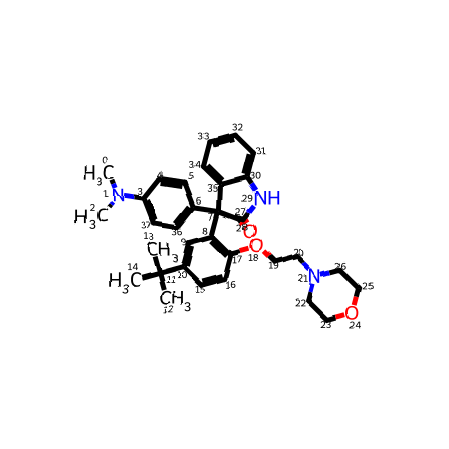 CN(C)c1ccc(C2(c3cc(C(C)(C)C)ccc3OCCN3CCOCC3)C(=O)Nc3ccccc32)cc1